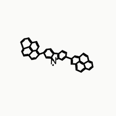 Cn1c2cc(-c3cc4ccc5cccc6ccc(c3)c4c56)ccc2c2ccc(-c3ccc4ccc5cccc6ccc3c4c56)cc21